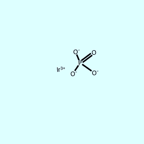 O=P([O-])([O-])[O-].[Ir+3]